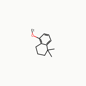 [CH2]COc1cccc2c1CCCC2(C)C